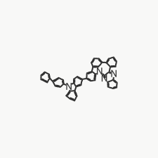 c1ccc(-c2ccc(-n3c4ccccc4c4cc(-c5ccc6c(c5)c5cccc7c5n6-c5nc6ccccc6nc5-c5ccccc5-7)ccc43)cc2)cc1